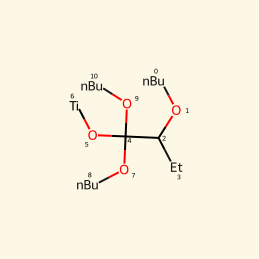 CCCCOC(CC)C([O][Ti])(OCCCC)OCCCC